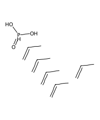 C=CC.C=CC.C=CC.C=CC.C=CC.O=[PH](O)O